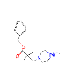 CN1CCN(CC(C)(C)C(=O)OCc2ccccc2)CC1